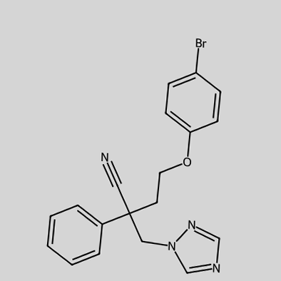 N#CC(CCOc1ccc(Br)cc1)(Cn1cncn1)c1ccccc1